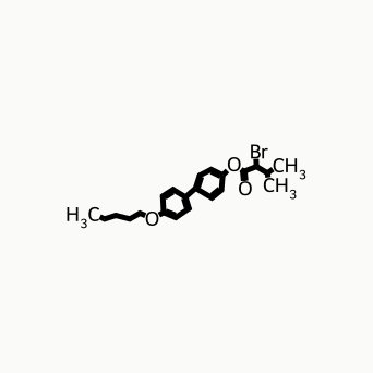 CCCCCOc1ccc(-c2ccc(OC(=O)C(Br)C(C)C)cc2)cc1